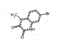 Cn1c(=O)c(=O)[nH]c2cc(Br)ccc21